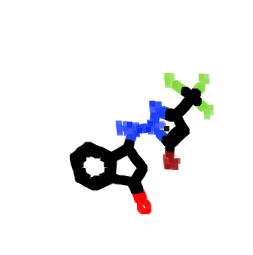 O=C1CC(N[N+]2N=C(C(F)(F)F)C=C2Br)c2ccccc21